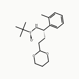 Cc1ccccc1[C@H](CCC1OCCCO1)N[S@@+]([O-])C(C)(C)C